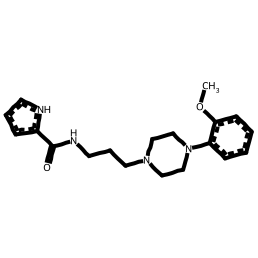 COc1ccccc1N1CCN(CCCNC(=O)c2ccc[nH]2)CC1